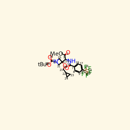 COC(=O)C(NC(=O)c1ccc(S(F)(F)(F)(F)F)cc1)C1(OCC2CC2)CN(C(=O)OC(C)(C)C)C1